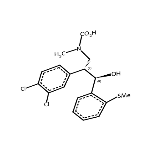 CSc1ccccc1[C@H](O)[C@@H](CN(C)C(=O)O)c1ccc(Cl)c(Cl)c1